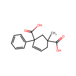 CC1(C(=O)O)CC=CC(C(=O)O)(c2ccccc2)C1